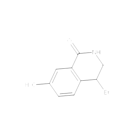 CCC1CNC(=O)c2cc(C)ccc21